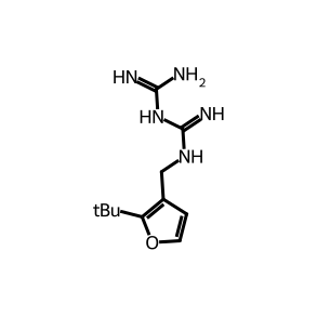 CC(C)(C)c1occc1CNC(=N)NC(=N)N